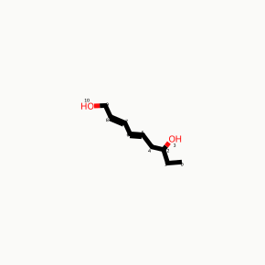 CCC(O)CC=CC=CCO